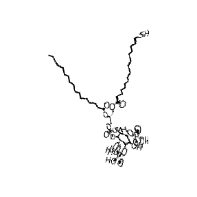 CCCCCCCCCCCCCCCC(=O)O[C@H](COC(=O)CCCCCCCCCCCCCCCS)COP(=O)(O)OC1C(O)[C@@H](OP(=O)(O)O)C(O)[C@@H](OP(=O)(O)O)[C@H]1O